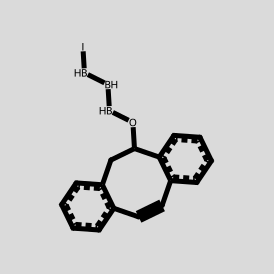 IBBBOC1Cc2ccccc2C#Cc2ccccc21